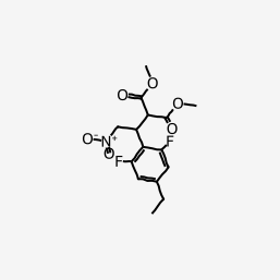 CCc1cc(F)c(C(C[N+](=O)[O-])C(C(=O)OC)C(=O)OC)c(F)c1